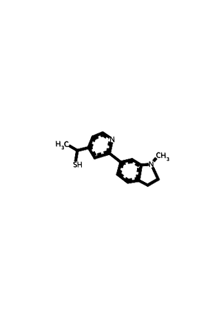 CC(S)c1ccnc(-c2ccc3c(c2)N(C)CC3)c1